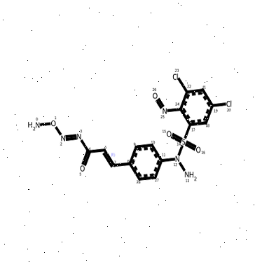 NON=NC(=O)/C=C/c1ccc(N(N)S(=O)(=O)c2cc(Cl)cc(Cl)c2N=O)cc1